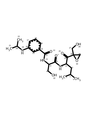 CC(C)CC(NC(=O)C(CO)NC(=O)c1cccc(NC(C)C)c1)C(=O)C1(CO)CO1